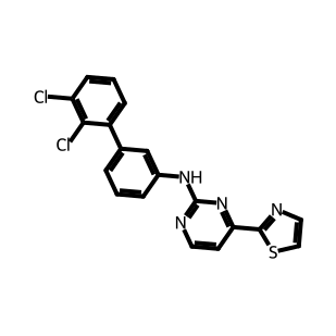 Clc1cccc(-c2cccc(Nc3nccc(-c4nccs4)n3)c2)c1Cl